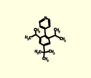 CC(C)c1cc(C(C)(C)C)cc(C(C)C)c1-c1ccncc1